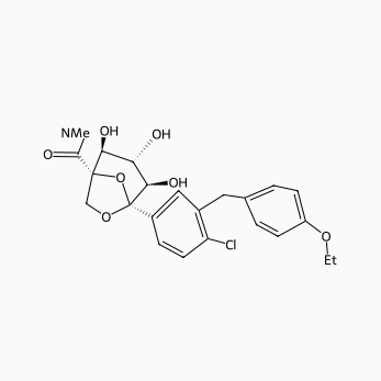 CCOc1ccc(Cc2cc([C@]34OC[C@](C(=O)NC)(O3)[C@@H](O)[C@H](O)[C@H]4O)ccc2Cl)cc1